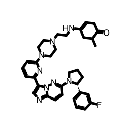 CC1CC(NCCN2CCN(c3cccc(-c4cnc5ccc(N6CCC[C@@H]6c6cccc(F)c6)nn45)n3)CC2)=CCC1=O